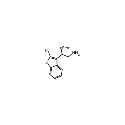 CCCCCC(CN)c1c(Cl)sc2ccccc12